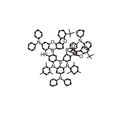 Cc1cc(C)c(N2c3cc4c(cc3B3c5cc6c(cc5N(c5c(C)cc(C)cc5C)c5cc(N(c7ccccc7)c7ccccc7)cc2c53)Oc2cc(N(c3ccccc3)c3ccccc3)cc3c2B6c2ccc5oc6c(C(C)(C)C)cccc6c5c2O3)B2c3ccc5oc6c(C(C)(C)C)cccc6c5c3Oc3cc(N(c5ccccc5)c5ccccc5)cc(c32)N4)c(C)c1